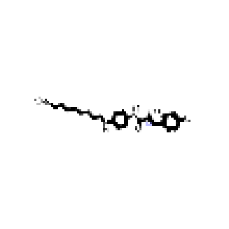 CCCCCCCCCCCCCCCCCCNc1ccc(NC(=O)/C(C)=C/c2ccc(O)cc2)cc1